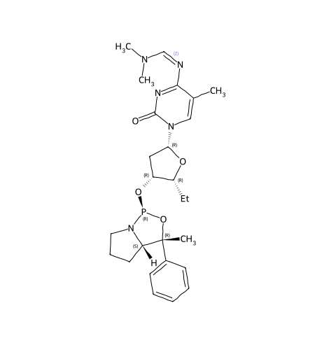 CC[C@H]1O[C@@H](n2cc(C)c(/N=C\N(C)C)nc2=O)C[C@H]1O[P@@]1O[C@](C)(c2ccccc2)[C@@H]2CCCN21